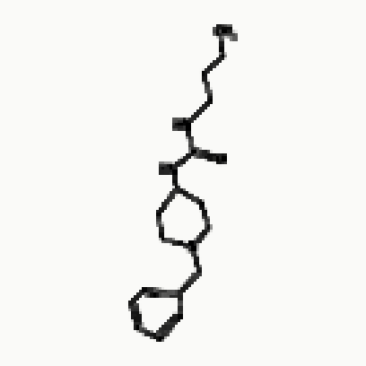 CCCCNC(=O)NC1CCN(Cc2ccccc2)CC1